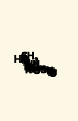 Cc1cc2cc(Nc3ncnc4ccc(OC(=O)C=CCSCCCN5CCOCC5)cc34)ccc2[nH]1